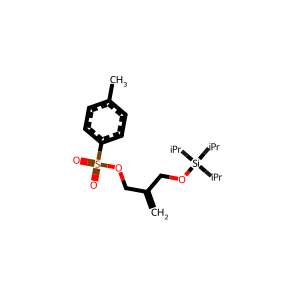 C=C(CO[Si](C(C)C)(C(C)C)C(C)C)COS(=O)(=O)c1ccc(C)cc1